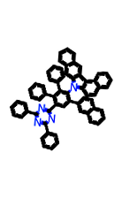 c1ccc(-c2nc(-c3ccccc3)nc(-c3cc(-c4ccc5ccccc5c4)c(-n4c5cc6ccccc6cc5c5c6ccccc6ccc54)c(-c4ccccc4)c3-c3ccccc3)n2)cc1